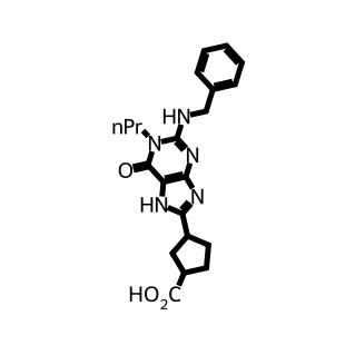 CCCn1c(NCc2ccccc2)nc2nc(C3CCC(C(=O)O)C3)[nH]c2c1=O